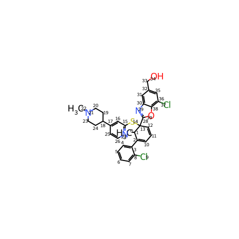 CC1C(c2ccccc2Cl)=CC=CC1(Sc1cc(C2CCN(C)CC2)ccn1)c1nc2cc(CO)cc(Cl)c2o1